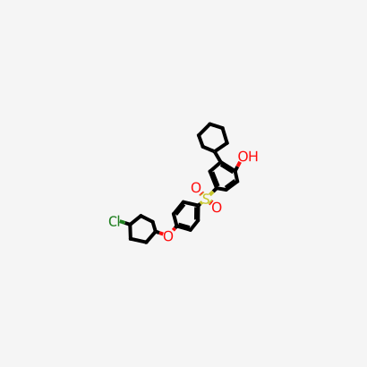 O=S(=O)(c1ccc(OC2CCC(Cl)CC2)cc1)c1ccc(O)c(C2CCCCC2)c1